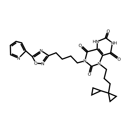 O=c1[nH]c(=O)c2c([nH]1)c(=O)n(CCCCc1noc(-c3ccccn3)n1)c(=O)n2CCCC1(C2CC2)CC1